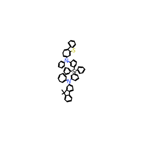 CC1(C)c2ccccc2-c2ccc(N(C3=CCC=CC=C3)c3cccc([Si](c4ccccc4)(c4ccccc4)c4cccc(N(C5=CCC=c6c(sc7ccccc67)=C5)c5ccccc5)c4)c3)cc21